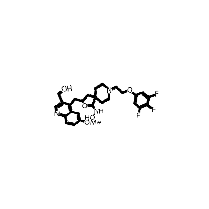 COc1ccc2ncc(CO)c(CCCC3(C(=O)NO)CCN(CCOc4cc(F)c(F)c(F)c4)CC3)c2c1